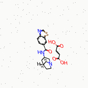 O=C(N[C@@H]1C[C@H]2CCN(C2)C1)c1ccc2ncsc2c1.O=C(O)C=CC(=O)O